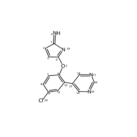 N=C1C=CC(Oc2ccc(Cl)cc2-c2cncnc2)=N1